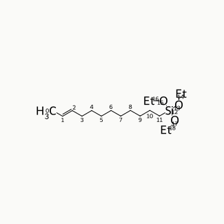 CC=CCCCCCCCCC[Si](OCC)(OCC)OCC